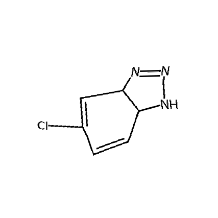 ClC1=CC2N=NNC2C=C1